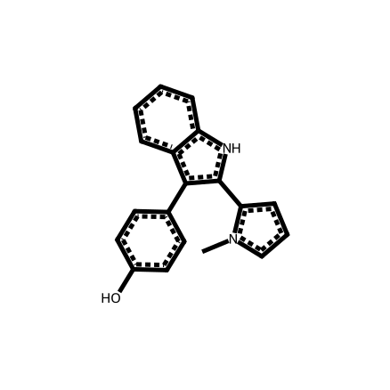 Cn1cccc1-c1[nH]c2ccccc2c1-c1ccc(O)cc1